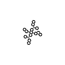 c1ccc(N(c2ccc3ccccc3c2)c2ccc3c(-c4ccc5c(ccc6ccccc65)c4)c4cc(N(c5ccccc5)c5ccc6ccccc6c5)ccc4c(-c4ccc5ccccc5c4)c3c2)cc1